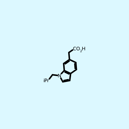 CC(C)Cn1ccc2ccc(CC(=O)O)cc21